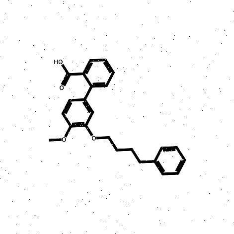 COc1ccc(-c2ccccc2C(=O)O)cc1OCCCCc1ccccc1